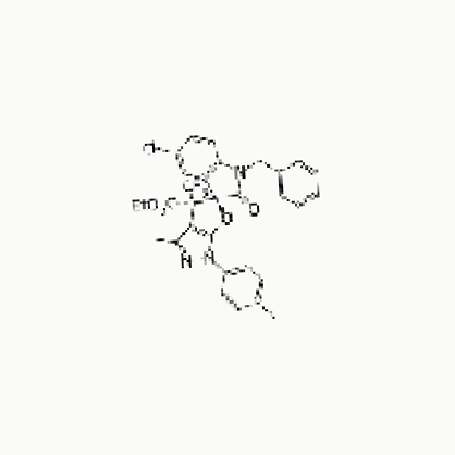 CCOC(=O)[C@@]1(C(F)(F)F)c2c(C)nn(-c3ccc(C)cc3)c2O[C@@]12C(=O)N(Cc1ccccc1)c1ccc(Cl)cc12